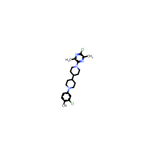 Cc1nc(N2CCC(C3CCN(c4ccc(C#N)c(Cl)c4)CC3)CC2)c(C)nc1Cl